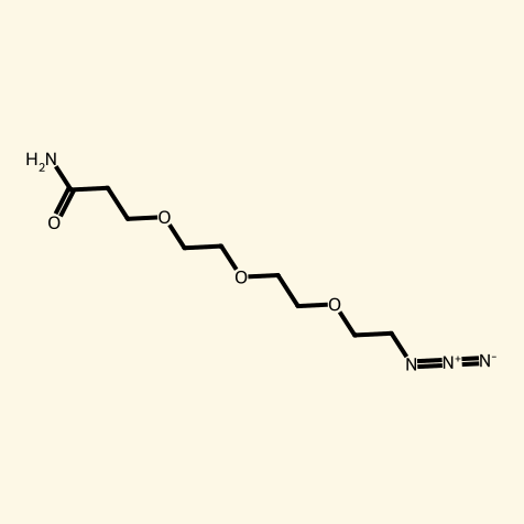 [N-]=[N+]=NCCOCCOCCOCCC(N)=O